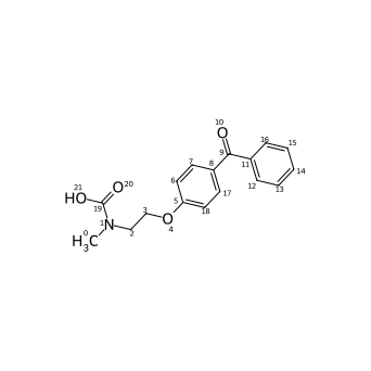 CN(CCOc1ccc(C(=O)c2ccccc2)cc1)C(=O)O